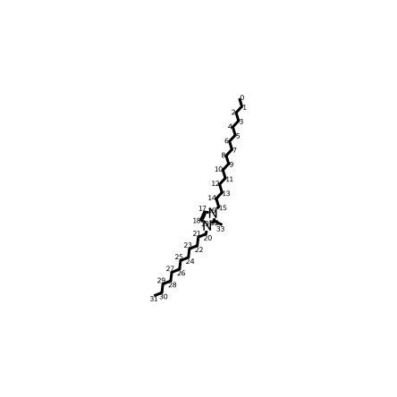 CCCCCCCCCCCCCCCCN1C=CN(CCCCCCCCCCCC)C1C